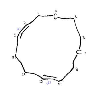 [CH]1/C=C\CCCCCC/C=C\C1